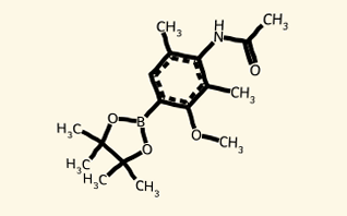 COc1c(B2OC(C)(C)C(C)(C)O2)cc(C)c(NC(C)=O)c1C